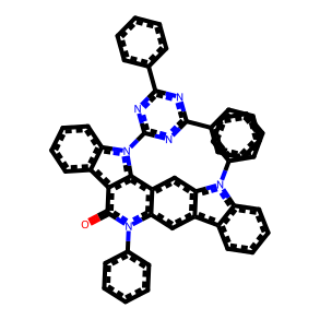 O=c1c2c3ccccc3n(-c3nc(-c4ccccc4)nc(-c4ccccc4)n3)c2c2cc3c(cc2n1-c1ccccc1)c1ccccc1n3-c1ccccc1